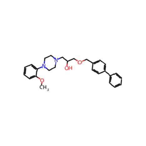 COc1ccccc1N1CCN(CC(O)COCc2ccc(-c3ccccc3)cc2)CC1